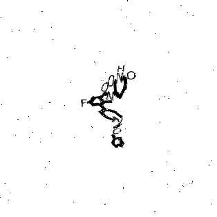 O=C1CCC(N2Cc3c(cc(F)cc3C3CCN(CCOCc4ccccc4)CC3)C2=O)C(=O)N1